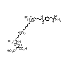 N=C(N)NCc1ccc(C(=O)NCCCCC(NC(=O)CCCCCCC(=O)NCCCC[C@H](NC(=O)NC(CCC(=O)O)C(=O)O)C(=O)O)C(=O)O)cc1